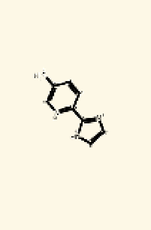 Cc1ccc(-c2ncc[nH]2)nc1